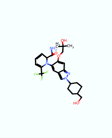 CC(C)(O)COc1cc2nn(C3CCC(CO)CC3)cc2cc1N1C(C(F)(F)F)=CC=CC1C(N)=O